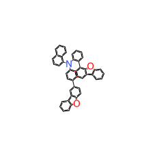 c1ccc(N(c2ccc(-c3ccc4oc5ccccc5c4c3)cc2)c2cccc3ccccc23)c(-c2cccc3c2oc2ccccc23)c1